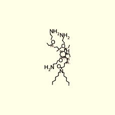 CCCCCCN(CCCCCC)C(=O)CC[C@@H](C)[C@H]1CC[C@H]2C([C@@H](CC)OCCCN)[C@@H](C(C)(C)CC[C@H](CC)OCCCN)C[C@H](OCCCN)[C@]12C